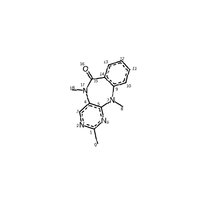 Cc1ncc2c(n1)N(C)c1ccccc1C(=O)N2C